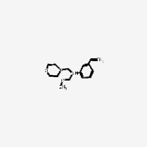 C=Cc1cccc([SiH](COC)CN2CCOCC2)c1